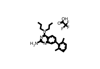 CCCN(CCC)c1nc(N)nc2cc(-c3c(C)cccc3C)ccc12.O=C(O)C(F)(F)F